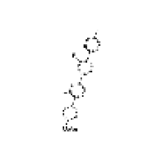 COc1ccc(-c2ccc(-c3ccc(-c4ccc(C)cc4)c(F)c3)cc2F)cc1